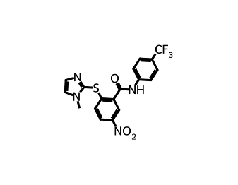 Cn1ccnc1Sc1ccc([N+](=O)[O-])cc1C(=O)Nc1ccc(C(F)(F)F)cc1